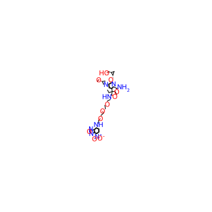 CCC(CC)(C(=O)NCCOCCOCCOCCNc1ccc([N+](=O)[O-])c2nonc12)c1cc(N2CC(OC)C2)c(OC[C@H]2C[C@@H]2CO)nc1C(N)=O